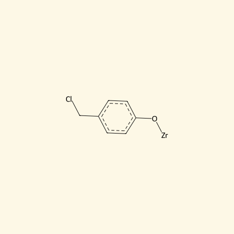 ClCc1ccc([O][Zr])cc1